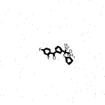 NC(=O)C(N)(Sc1ccccc1)c1cccc(C(=O)c2ccc(F)cc2F)c1